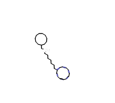 C1=C\C=C/C=C\C(CCCCCCCNCC2CCCCCCCCCC2)=C/C=C\C=C/1